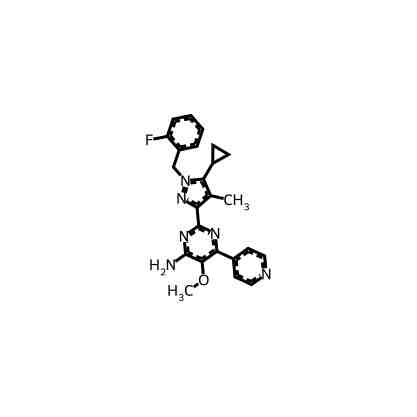 COc1c(N)nc(-c2nn(Cc3ccccc3F)c(C3CC3)c2C)nc1-c1ccncc1